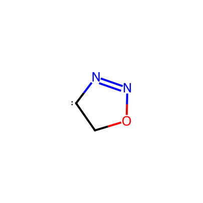 [C]1CON=N1